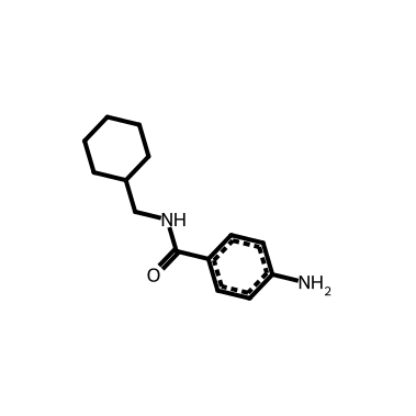 Nc1ccc(C(=O)NCC2CCCCC2)cc1